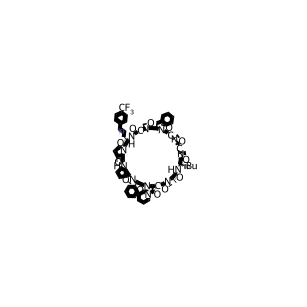 CC[C@H](C)[C@@H]1NC(=O)[C@H](C)N(C)C(=O)C[C@@H](C(=O)N2CCCCC2)N(C)C(=O)[C@H](C2CCCCC2)N(C)C(=O)C2(CCCC2)NC(=O)[C@@H]2CCCN2C(=O)[C@H](C/C=C/c2ccc(C(F)(F)F)cc2)NC(=O)CN(C)C(=O)[C@@H](CC2CCCCC2)N(C)C(=O)CN(C)C(=O)CN(C)C1=O